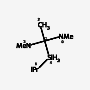 CNC(C)(NC)[SiH2]C(C)C